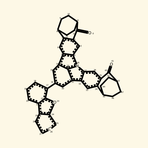 O=C1c2cc3c(cc2C2CCC1CC2)c1cc(-c2cccc4c2oc2ccccc24)cc2c4cc5c(cc4n3c12)C(=O)C1CCC5CC1